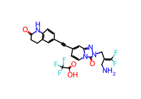 NCC(Cn1nc2cc(C#Cc3ccc4c(c3)CCC(=O)N4)ccn2c1=O)=C(F)F.O=C(O)C(F)(F)F